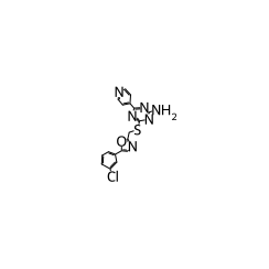 Nc1nc(SCc2ncc(-c3cccc(Cl)c3)o2)nc(-c2ccncc2)n1